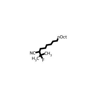 CCCCCCCCCCCCCCC(C#N)C(C)(C)F